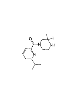 CC(C)c1cccc(C(=O)N2CCNC(C)(I)C2)n1